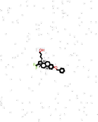 C[C@]12CC[C@@H]3c4ccc(OCc5ccccc5)cc4CC[C@H]3[C@@H]1[C@H](CCCCO)CC2=C(F)F